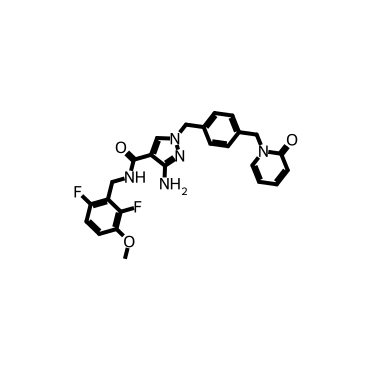 COc1ccc(F)c(CNC(=O)c2cn(Cc3ccc(Cn4ccccc4=O)cc3)nc2N)c1F